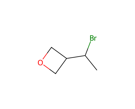 CC(Br)C1COC1